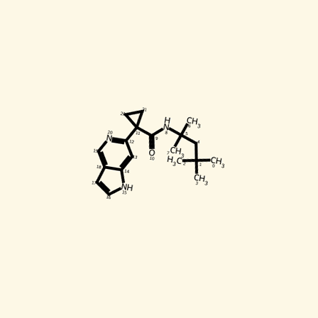 CC(C)(C)CC(C)(C)NC(=O)C1(c2cc3[nH]ccc3cn2)CC1